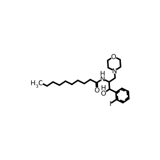 CCCCCCCCCC(=O)NC(CN1CCOCC1)C(O)c1ccccc1I